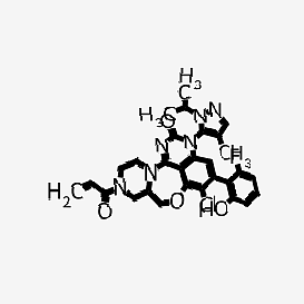 C=CC(=O)N1CCN2c3nc(=O)n(-c4c(C)cnn4C(C)C)c4cc(-c5c(O)cccc5F)c(Cl)c(c34)OCC2C1